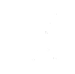 CC(C)(C)OC(=O)c1ccccc1N=C=O